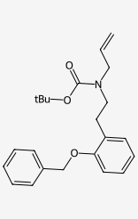 C=CCN(CCc1ccccc1OCc1ccccc1)C(=O)OC(C)(C)C